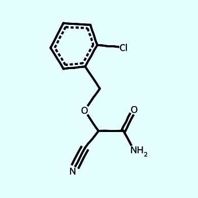 N#CC(OCc1ccccc1Cl)C(N)=O